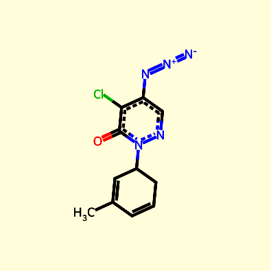 CC1=CC(n2ncc(N=[N+]=[N-])c(Cl)c2=O)CC=C1